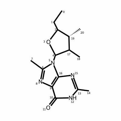 CCC1OC(n2c(C)nc3c(=O)[nH]c(C)nc32)C(C)[C@H]1C